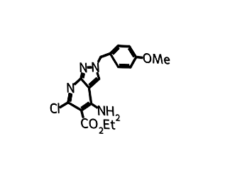 CCOC(=O)c1c(Cl)nc2nn(Cc3ccc(OC)cc3)cc2c1N